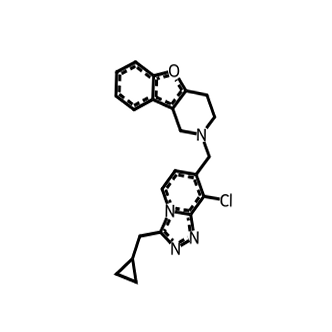 Clc1c(CN2CCc3oc4ccccc4c3C2)ccn2c(CC3CC3)nnc12